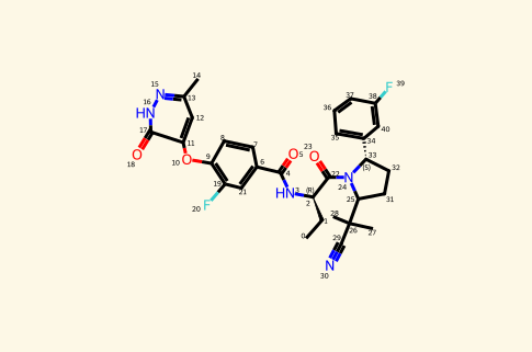 CC[C@@H](NC(=O)c1ccc(Oc2cc(C)n[nH]c2=O)c(F)c1)C(=O)N1C(C(C)(C)C#N)CC[C@H]1c1cccc(F)c1